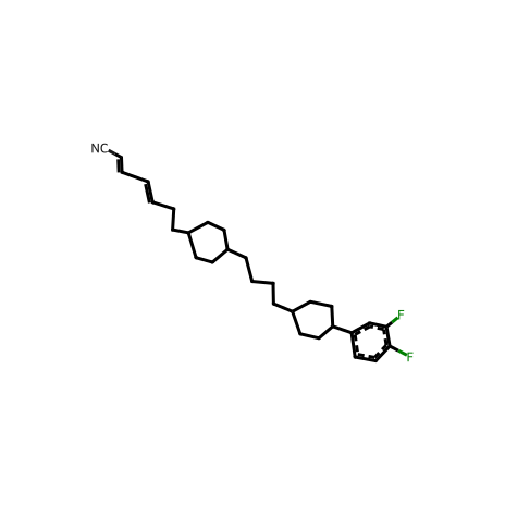 N#CC=CC=CCCC1CCC(CCCCC2CCC(c3ccc(F)c(F)c3)CC2)CC1